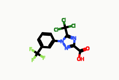 O=C(O)c1nc(C(Cl)(Cl)Cl)n(-c2cccc(C(F)(F)F)c2)n1